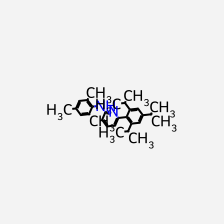 Cc1cc(C)c(Nc2cccc(-c3c(C(C)C)cc(C(C)C)cc3C(C)C)n2)c(C)c1